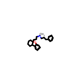 CN(CCCc1ccccc1)CCCC12CCCCC1c1ccccc1O2